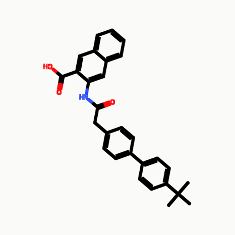 CC(C)(C)c1ccc(-c2ccc(CC(=O)Nc3cc4ccccc4cc3C(=O)O)cc2)cc1